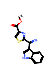 COC(=O)c1csc(C(=N)c2c[nH]c3ccccc23)n1